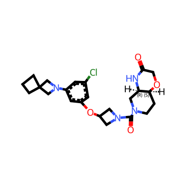 O=C1CO[C@H]2CCN(C(=O)N3CC(Oc4cc(Cl)cc(N5CC6(CCC6)C5)c4)C3)C[C@H]2N1